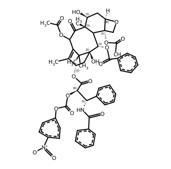 CC(=O)OC1C(=O)[C@@]2(C)C([C@H](OC(=O)c3ccccc3)[C@]3(O)C[C@H](OC(=O)[C@H](OC(=O)Oc4ccc([N+](=O)[O-])cc4)[C@@H](NC(=O)c4ccccc4)c4ccccc4)C(C)=C1C3(C)C)[C@]1(OC(C)=O)CO[C@@H]1C[C@@H]2O